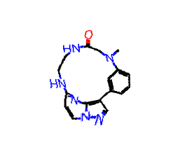 CN1CC(=O)NCCNc2ccn3ncc(c3n2)-c2cccc1c2